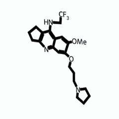 COc1cc2c(NCC(F)(F)F)c3c(nc2cc1OCCCN1CCCC1)CCC3